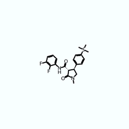 CN1C[C@H](c2ccc(S(C)(C)C)cc2)[C@@H](C(=O)Nc2cccc(F)c2F)C1=O